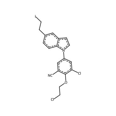 N#Cc1cc(-n2ccc3cc(CCI)ccc32)cc(Cl)c1OCCCl